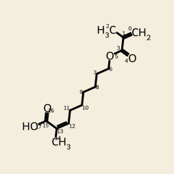 C=C(C)C(=O)OCCCCCCC=C(C)C(=O)O